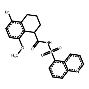 COc1ccc(Br)c2c1C(C(=O)NS(=O)(=O)c1cccc3ncccc13)CCC2